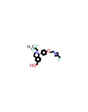 CC(F)(F)CN1CCc2cc(CO)ccc2[C@H]1c1ccc(OCCN2CC(CF)C2)cc1